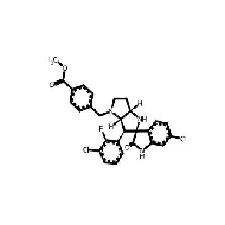 COC(=O)c1ccc(CN2CC[C@@H]3N[C@@]4(C(=O)Nc5cc(Cl)ccc54)[C@@H](c4cccc(Cl)c4F)[C@@H]32)cc1